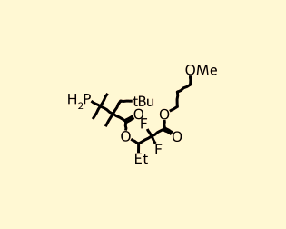 CCC(OC(=O)C(C)(CC(C)(C)C)C(C)(C)P)C(F)(F)C(=O)OCCCOC